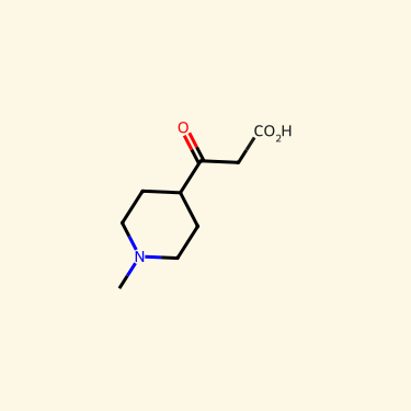 CN1CCC(C(=O)CC(=O)O)CC1